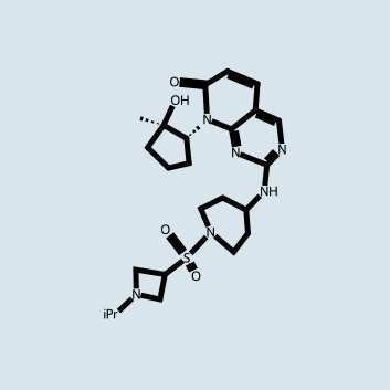 CC(C)N1CC(S(=O)(=O)N2CCC(Nc3ncc4ccc(=O)n([C@@H]5CCC[C@@]5(C)O)c4n3)CC2)C1